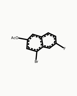 CC(=O)Oc1cc(Br)c2cc(F)ccc2c1